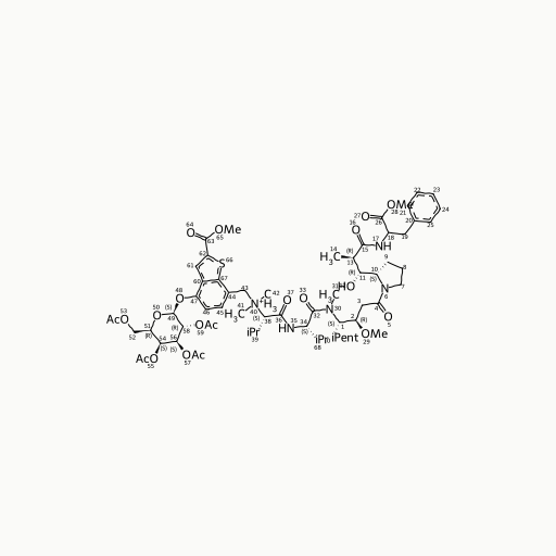 CCCC(C)[C@@H]([C@@H](CC(=O)N1CCC[C@H]1[C@H](O)[C@@H](C)C(=O)NC(Cc1ccccc1)C(=O)OC)OC)N(C)C(=O)[C@@H](NC(=O)[C@H](C(C)C)[N+](C)(C)Cc1ccc(O[C@@H]2O[C@H](COC(C)=O)[C@H](OC(C)=O)[C@H](OC(C)=O)[C@H]2OC(C)=O)c2cc(C(=O)OC)sc12)C(C)C